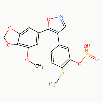 COc1cc(-c2oncc2-c2ccc(SC)c(O[PH](=O)O)c2)cc2c1OCO2